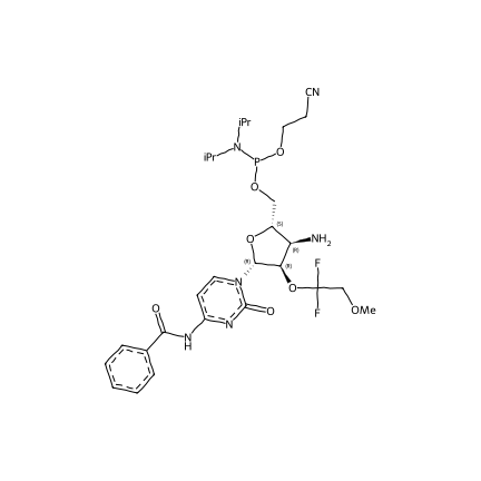 COCC(F)(F)O[C@@H]1[C@H](N)[C@@H](COP(OCCC#N)N(C(C)C)C(C)C)O[C@H]1n1ccc(NC(=O)c2ccccc2)nc1=O